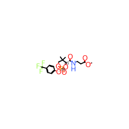 COC(=O)CCNC(=O)[C@@H]1O[P@](=O)(Oc2ccc(C(F)(F)F)cc2)OCC1(C)C